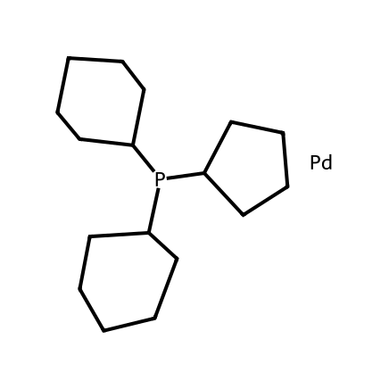 C1CCC(P(C2CCCCC2)C2CCCC2)CC1.[Pd]